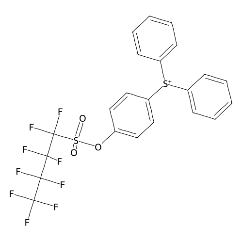 O=S(=O)(Oc1ccc([S+](c2ccccc2)c2ccccc2)cc1)C(F)(F)C(F)(F)C(F)(F)C(F)(F)F